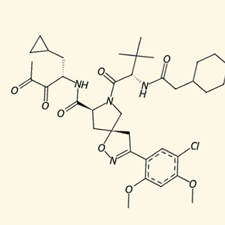 COc1cc(OC)c(C2=NO[C@]3(C2)C[C@@H](C(=O)N[C@@H](CC2CC2)C(=O)C(C)=O)N(C(=O)[C@@H](NC(=O)CC2CCCCC2)C(C)(C)C)C3)cc1Cl